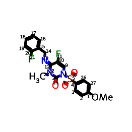 COc1ccc(S(=O)(=O)n2cc(F)/c(=N\Cc3ccccc3F)n(C)c2=O)cc1